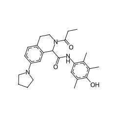 CCC(=O)N1CCc2ccc(N3CCCC3)cc2C1C(=O)Nc1cc(C)c(O)c(C)c1C